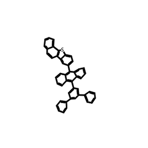 c1ccc(-c2cc(-c3ccccc3)cc(-c3c4ccccc4c(-c4ccc5sc6c7ccccc7ccc6c5c4)c4ccccc34)c2)cc1